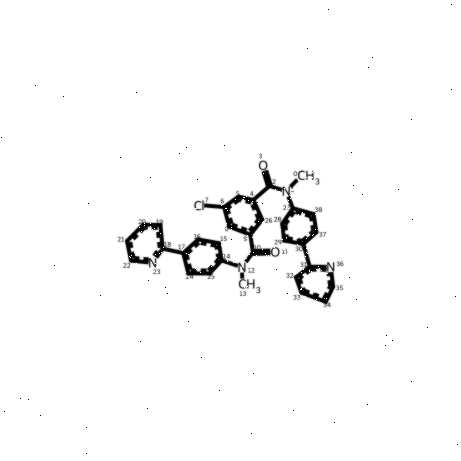 CN(C(=O)c1cc(Cl)cc(C(=O)N(C)c2ccc(-c3ccccn3)cc2)c1)c1ccc(-c2ccccn2)cc1